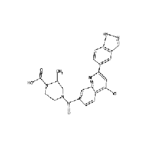 CC1CN(C(=O)c2ccc3c(Cl)cc(-c4ccc5[nH]ncc5c4)nc3c2)CCN1C(=O)O